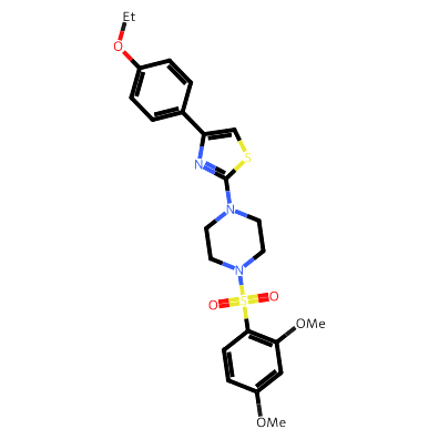 CCOc1ccc(-c2csc(N3CCN(S(=O)(=O)c4ccc(OC)cc4OC)CC3)n2)cc1